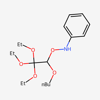 CCCCOC(ONc1ccccc1)C(OCC)(OCC)OCC